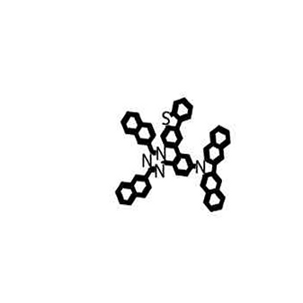 c1ccc2cc(-c3nc(-c4ccc5ccccc5c4)nc(-c4ccc(-n5c6cc7ccccc7cc6c6cc7ccccc7cc65)cc4-c4ccc5sc6ccccc6c5c4)n3)ccc2c1